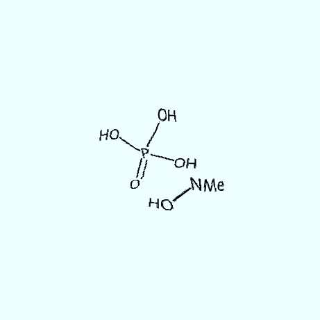 CNO.O=P(O)(O)O